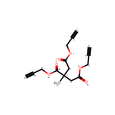 C#CCOC(=O)CC(CC(=O)OCC#C)(OC(C)=O)C(=O)OCC#C